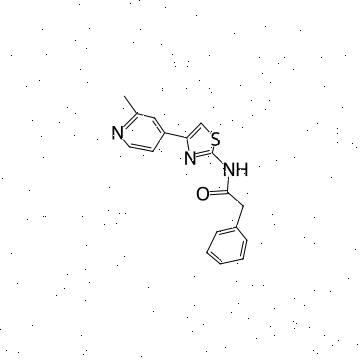 Cc1cc(-c2csc(NC(=O)Cc3ccccc3)n2)ccn1